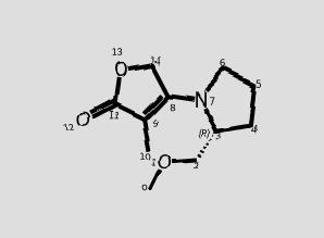 COC[C@H]1CCCN1C1=C(C)C(=O)OC1